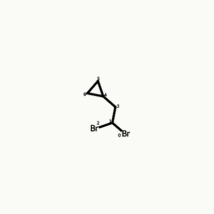 BrC(Br)CC1CC1